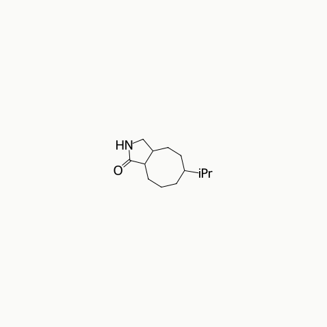 CC(C)C1CCCC2C(=O)NCC2CC1